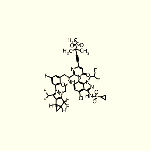 CC(C)(C#Cc1cc(=O)n(-c2ccc(Cl)c3c(NS(=O)(=O)C4CC4)nn(CC(F)F)c23)c([C@H](Cc2cc(F)cc(F)c2)NC(=O)Cn2nc(C(F)F)c3c2C(F)(F)[C@@H]2C[C@H]32)n1)S(C)(=O)=O